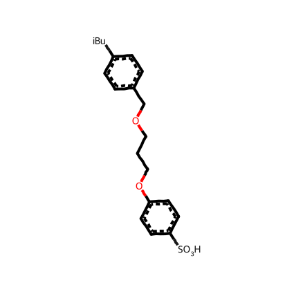 CCC(C)c1ccc(COCCCOc2ccc(S(=O)(=O)O)cc2)cc1